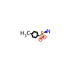 Cc1ccc(S(=O)(=O)SC#N)cc1